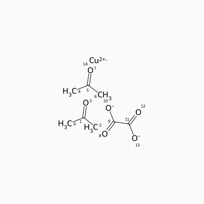 CC(C)=O.CC(C)=O.O=C([O-])C(=O)[O-].[Cu+2]